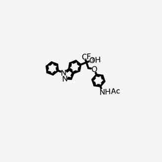 CC(=O)Nc1ccc(OCC(O)(c2ccc3c(cnn3-c3ccccc3)c2)C(F)(F)F)cc1